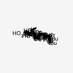 CC=CC[C@@H](C)[C@@H](O)[C@@H](C(=O)N[C@H](C(=O)N(C)CC(=O)O)[C@@H](C)O)N(C)C(=O)[C@H](C(C)C)N(C)C(=O)[C@H](CC(C)C)NC(=O)[C@H](CC(C)C)N(C)C(=O)[C@@H](C)NC(=O)[C@H](C)NC(=O)[C@H](CC(C)C)N(C)C(=O)[C@H](CC(C)C)NC(=O)[C@H](NC(=O)OC(C)(C)C)C(C)CC